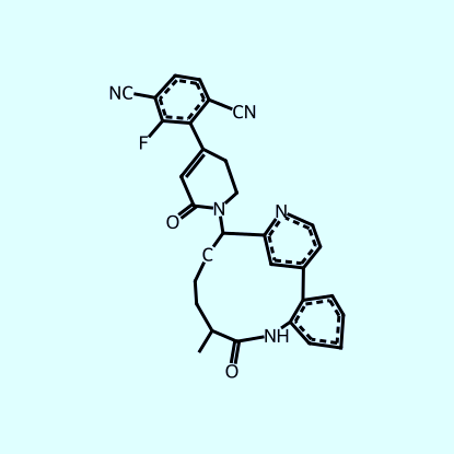 CC1CCCC(N2CCC(c3c(C#N)ccc(C#N)c3F)=CC2=O)c2cc(ccn2)-c2ccccc2NC1=O